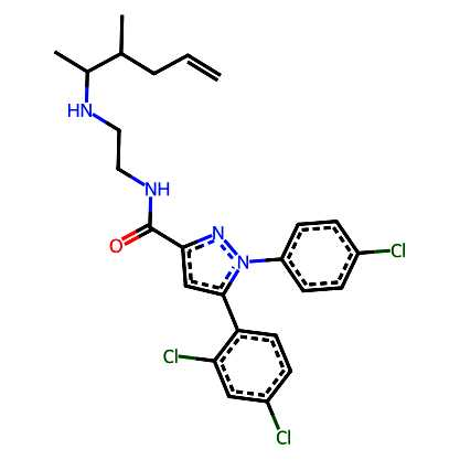 C=CCC(C)C(C)NCCNC(=O)c1cc(-c2ccc(Cl)cc2Cl)n(-c2ccc(Cl)cc2)n1